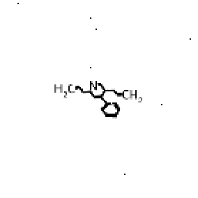 C=CCC1=NCC(CC=C)C(c2ccccc2)=C1